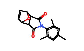 Cc1cc(C)c(N2C(=O)C3C4C=CC(O4)C3C2=O)c(C)c1